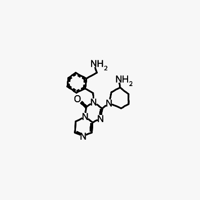 NCc1ccccc1CN1C(=O)N2CC=NC=C2N=C1N1CCCC(N)C1